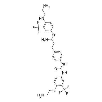 NCCNc1ccc(OC(N)CCc2ccc(NC(=O)Nc3ccc(SCCN)c(C(F)(F)F)c3)cc2)cc1C(F)(F)F